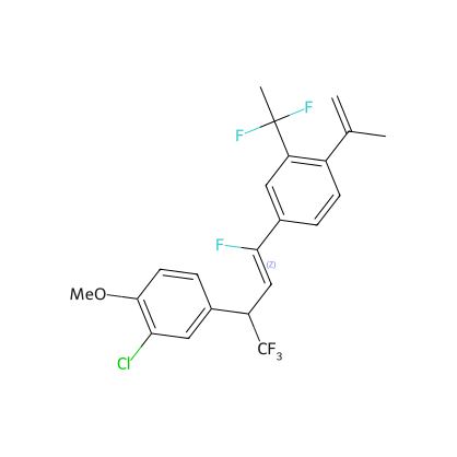 C=C(C)c1ccc(/C(F)=C/C(c2ccc(OC)c(Cl)c2)C(F)(F)F)cc1C(C)(F)F